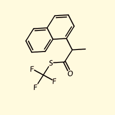 CC(C(=O)SC(F)(F)F)c1cccc2ccccc12